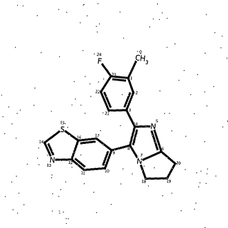 Cc1cc(-c2nc3n(c2-c2ccc4ncsc4c2)CCC3)ccc1F